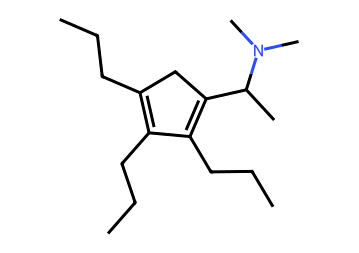 CCCC1=C(CCC)C(CCC)=C(C(C)N(C)C)C1